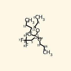 CCCO[Si](CC(F)(F)F)(OCCC)OCCC